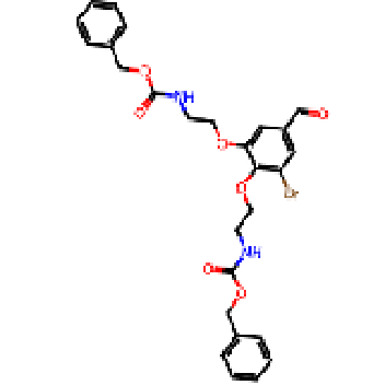 O=Cc1cc(Br)c(OCCNC(=O)OCc2ccccc2)c(OCCNC(=O)OCc2ccccc2)c1